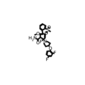 COC1=C(c2ccccc2S(C)(=O)=O)C=CC(F)(N2CCC(Oc3ccc(F)cc3F)CC2)C1C(N)=O